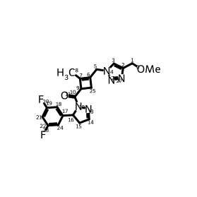 COCc1cn(CC2=C(C)C(C(=O)N3N=CCC3c3cc(F)cc(F)c3)C2)nn1